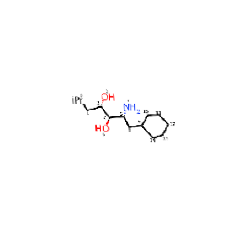 CC(C)C[C@H](O)C(O)[C@H](N)CC1CCCCC1